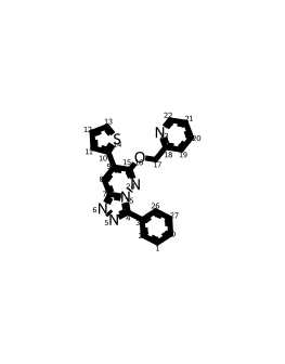 c1ccc(-c2nnc3cc(-c4cccs4)c(OCc4ccccn4)nn23)cc1